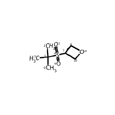 CC(C)(C)S(=O)(=O)C1COC1